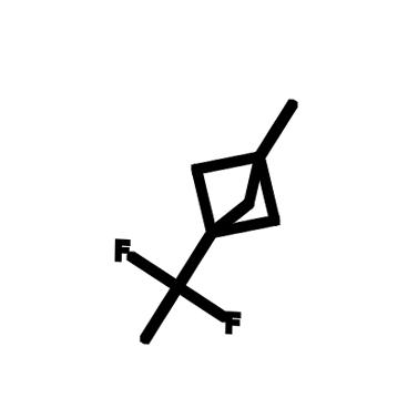 CC12CC(C(C)(F)F)(C1)C2